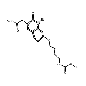 CCn1c(=O)c(CC(=O)OC)cc2ccc(OCCCCNC(=O)OC(C)(C)C)cc21